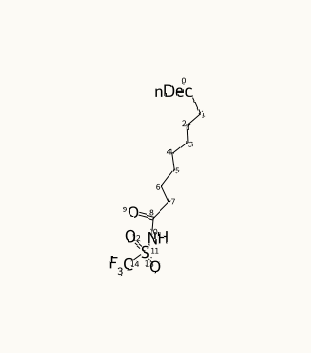 CCCCCCCCCCCCCCCCCC(=O)NS(=O)(=O)C(F)(F)F